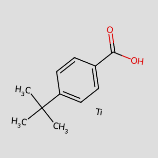 CC(C)(C)c1ccc(C(=O)O)cc1.[Ti]